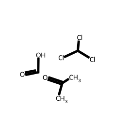 CC(C)=O.ClC(Cl)Cl.O=CO